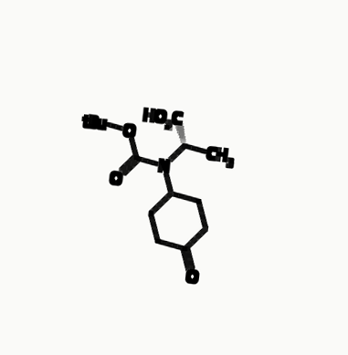 C[C@@H](C(=O)O)N(C(=O)OC(C)(C)C)C1CCC(=O)CC1